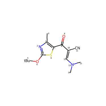 Cc1nc(OC(C)(C)C)sc1C(=O)C(C#N)=CN(C)C